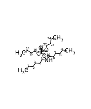 CCCCCCNCCCCCC.CCCCOP(=O)(O)OCCCC